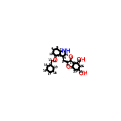 O=C1/C(=C\c2c[nH]c3cccc(OCc4ccccc4)c23)Oc2cc(O)cc(O)c21